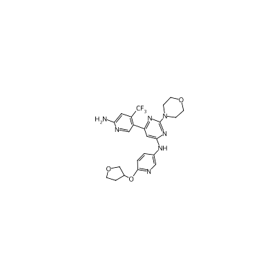 Nc1cc(C(F)(F)F)c(-c2cc(Nc3ccc(OC4CCOC4)nc3)nc(N3CCOCC3)n2)cn1